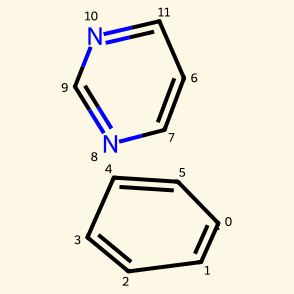 [c]1ccccc1.c1cncnc1